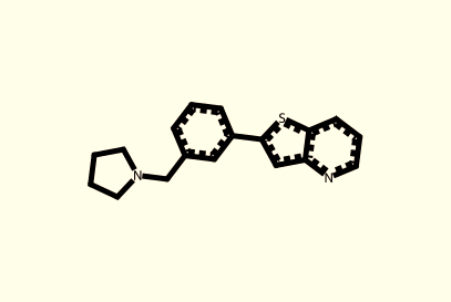 [c]1ccnc2cc(-c3cccc(CN4CCCC4)c3)sc12